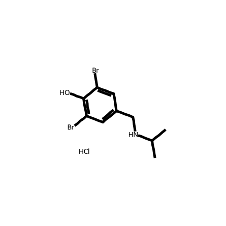 CC(C)NCc1cc(Br)c(O)c(Br)c1.Cl